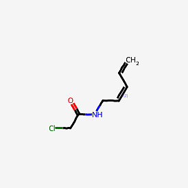 C=C/C=C\CNC(=O)CCl